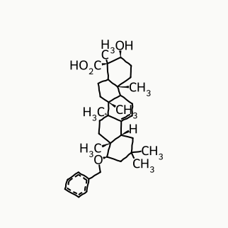 CC1(C)C[C@@H](OCc2ccccc2)[C@]2(C)CC[C@]3(C)C(=CCC4[C@@]5(C)CC[C@H](O)[C@](C)(C(=O)O)C5CC[C@]43C)[C@@H]2C1